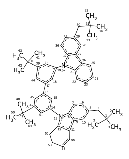 CC(C)(C)Cc1ccc2c(c1)c1c(n2-c2cc(-c3cc(-n4c5ccccc5c5cc(CC(C)(C)C)ccc54)cc(C(C)(C)C)c3)cc(C(C)(C)C)c2)CCC=C1